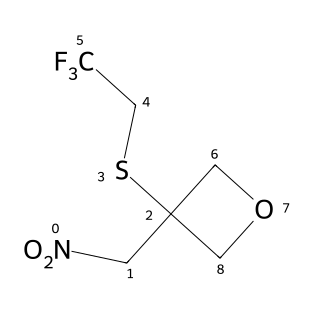 O=[N+]([O-])CC1(SCC(F)(F)F)COC1